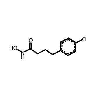 O=C(CCCc1ccc(Cl)cc1)NO